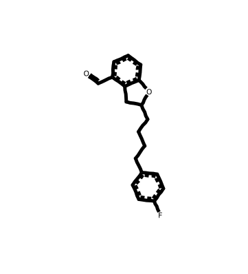 O=Cc1cccc2c1CC(CCCCc1ccc(F)cc1)O2